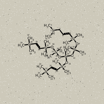 C[SiH](C)CC=C[Si](C)(C)O[Si](C)(C)O[Si](C)(O[Si](C)(C)C=C[Si](C)(C)C)O[Si](C)(C)O[Si](C)(C)C=C[Si](C)(C)C